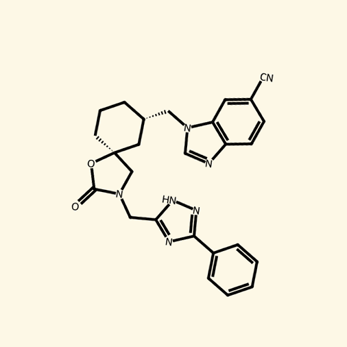 N#Cc1ccc2ncn(C[C@H]3CCC[C@]4(C3)CN(Cc3nc(-c5ccccc5)n[nH]3)C(=O)O4)c2c1